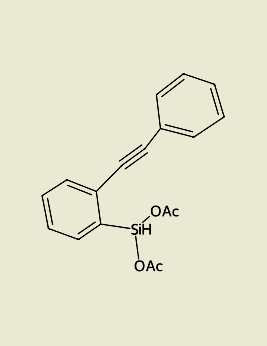 CC(=O)O[SiH](OC(C)=O)c1ccccc1C#Cc1ccccc1